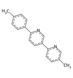 Cc1ccc(-c2ccc(-c3ccc(C)cn3)cn2)cc1